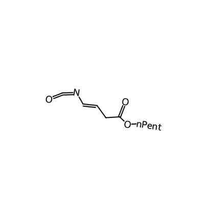 CCCCCOC(=O)CC=CN=C=O